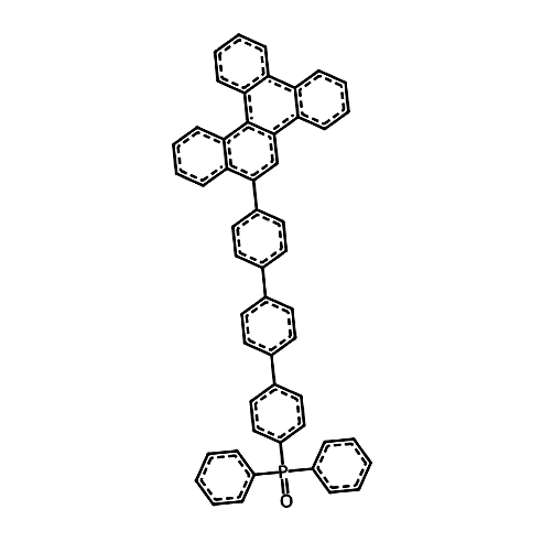 O=P(c1ccccc1)(c1ccccc1)c1ccc(-c2ccc(-c3ccc(-c4cc5c6ccccc6c6ccccc6c5c5ccccc45)cc3)cc2)cc1